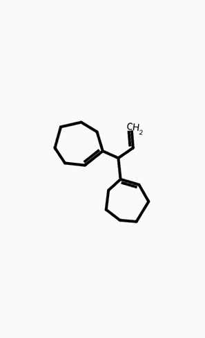 C=C[C](C1=CCCCCC1)C1=CCCCCC1